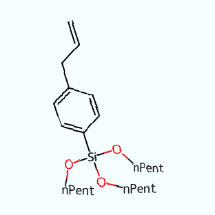 C=CCc1ccc([Si](OCCCCC)(OCCCCC)OCCCCC)cc1